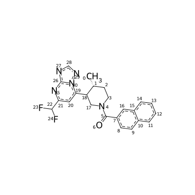 C[C@@H]1CCN(C(=O)c2ccc3ccccc3c2)CC1c1cc(C(F)F)nc2ncnn12